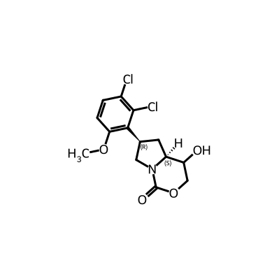 COc1ccc(Cl)c(Cl)c1[C@H]1C[C@H]2C(O)COC(=O)N2C1